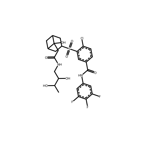 CC(O)C(O)CNC(=O)CC1(O)C2CC1CC(S(=O)(=O)c1cc(C(=O)Nc3cc(F)c(F)c(F)c3)ccc1Cl)C2